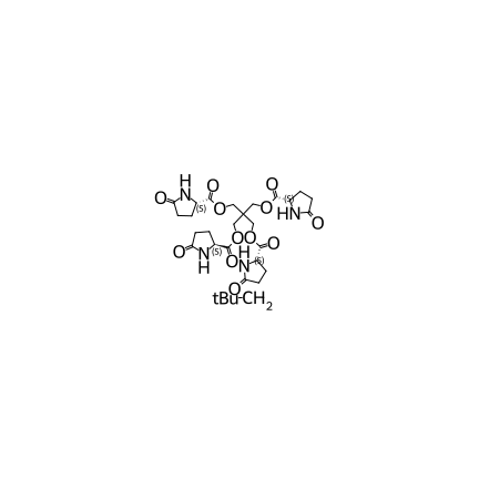 O=C1CC[C@@H](C(=O)OCC(COC(=O)[C@@H]2CCC(=O)N2)(COC(=O)[C@@H]2CCC(=O)N2)COC(=O)[C@@H]2CCC(=O)N2)N1.[CH2]C([CH2])([CH2])[CH2]